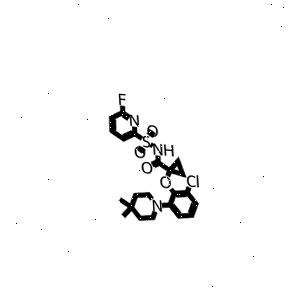 CC1(C)CCN(c2cccc(Cl)c2OC2(C(=O)NS(=O)(=O)c3cccc(F)n3)CC2)CC1